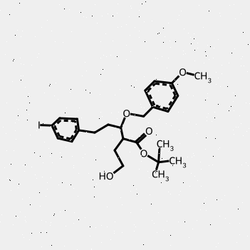 COc1ccc(COC(CCc2ccc(I)cc2)C(CCO)C(=O)OC(C)(C)C)cc1